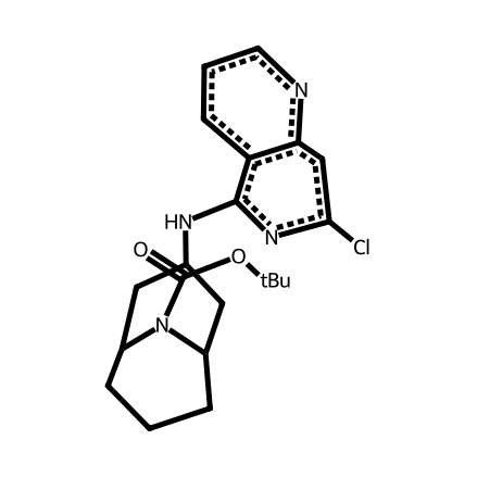 CC(C)(C)OC(=O)N1C2CCCC1CC(Nc1nc(Cl)cc3ncccc13)C2